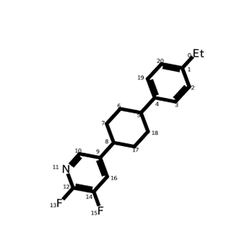 CCc1ccc(C2CCC(c3cnc(F)c(F)c3)CC2)cc1